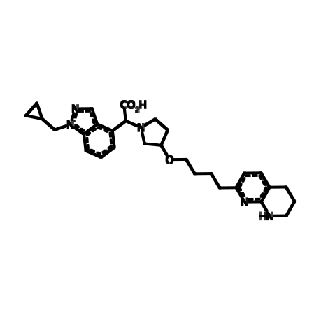 O=C(O)C(c1cccc2c1cnn2CC1CC1)N1CCC(OCCCCc2ccc3c(n2)NCCC3)C1